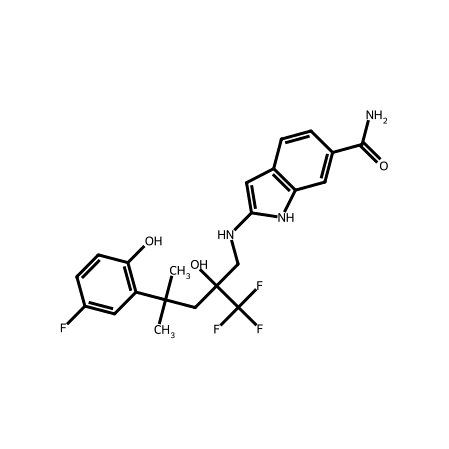 CC(C)(CC(O)(CNc1cc2ccc(C(N)=O)cc2[nH]1)C(F)(F)F)c1cc(F)ccc1O